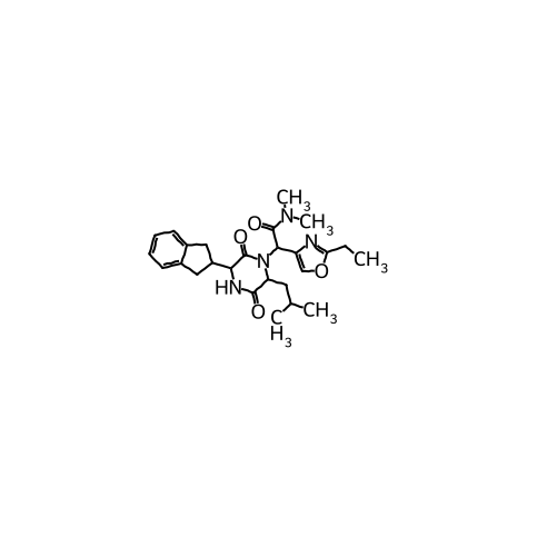 CCc1nc(C(C(=O)N(C)C)N2C(=O)C(C3Cc4ccccc4C3)NC(=O)C2CC(C)C)co1